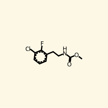 COC(=O)NCCc1cccc(Cl)c1F